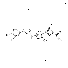 NC(=O)c1cnn(C23CCC(NC(=O)COc4ccc(Cl)c(F)c4)(CC2)CC3O)c1